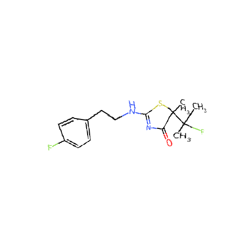 CC(C)(F)C1(C)SC(NCCc2ccc(F)cc2)=NC1=O